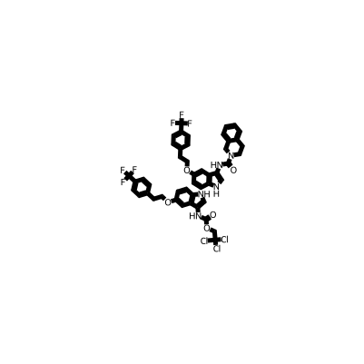 O=C(Nc1c[nH]c2ccc(OCCc3ccc(C(F)(F)F)cc3)cc12)N1CCc2ccccc2C1.O=C(Nc1c[nH]c2ccc(OCCc3ccc(C(F)(F)F)cc3)cc12)OCC(Cl)(Cl)Cl